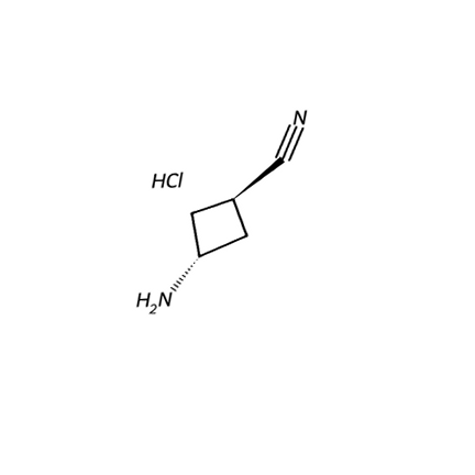 Cl.N#C[C@H]1C[C@H](N)C1